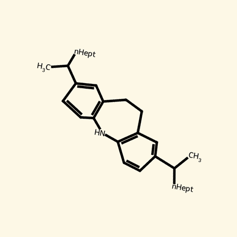 CCCCCCCC(C)c1ccc2c(c1)CCc1cc(C(C)CCCCCCC)ccc1N2